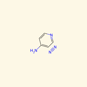 N#N.Nc1ccncc1